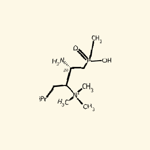 CC(C)CC([C@H](N)CP(C)(=O)O)[N+](C)(C)C